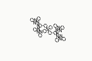 c1ccc([Si](c2ccccc2)(c2cccc(-c3cc(-n4c5ccccc5n5c6ccccc6nc45)nc(-n4c5ccccc5n5c6ccccc6nc45)c3)c2)c2cccc(-c3cc(-n4c5ccccc5n5c6ccccc6nc45)nc(-n4c5ccccc5n5c6ccccc6nc45)c3)c2)cc1